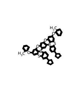 Cc1ccccc1Oc1cc2c3c(c1)Sc1cc(C4CCCC4)ccc1B3c1cc3c(cc1O2)Oc1cc(Oc2ccccc2C)cc2c1B3c1ccc(C3CCCC3)cc1S2